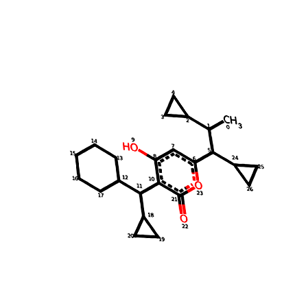 CC(C1CC1)C(c1cc(O)c(C(C2CCCCC2)C2CC2)c(=O)o1)C1CC1